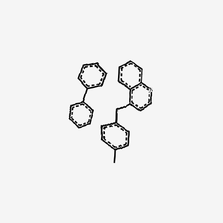 Cc1ccc(Cc2ccnc3ccccc23)cc1.c1ccc(-c2ccccc2)cc1